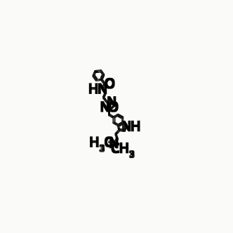 CN(C)CCc1c[nH]c2ccc(Cc3nc(CCNC(=O)c4ccccc4)no3)cc12